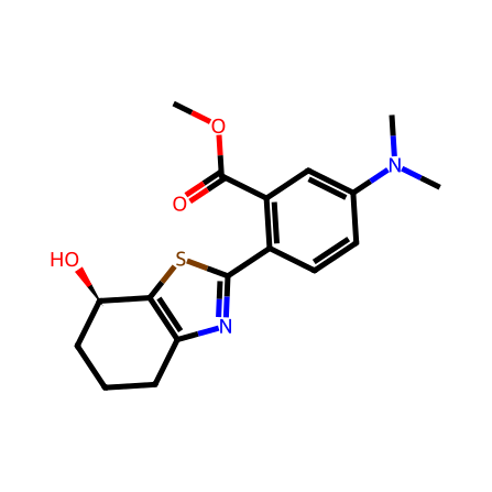 COC(=O)c1cc(N(C)C)ccc1-c1nc2c(s1)[C@H](O)CCC2